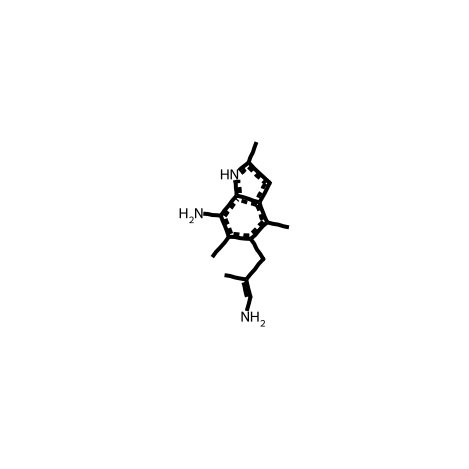 C/C(=C\N)Cc1c(C)c(N)c2[nH]c(C)cc2c1C